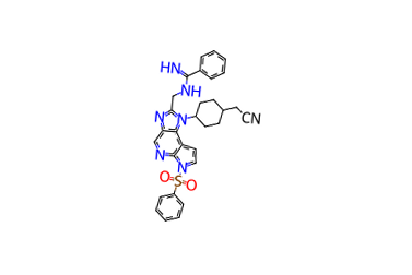 N#CCC1CCC(n2c(CNC(=N)c3ccccc3)nc3cnc4c(ccn4S(=O)(=O)c4ccccc4)c32)CC1